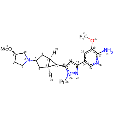 CO[C@@H]1CCN(C2C[C@@H]3[C@H](C2)[C@@H]3c2cc(-c3cnc(N)c(OC(F)(F)F)c3)nn2C(C)C)C1